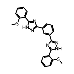 CSc1ccccc1-c1nc(-c2cccc(-c3n[nH]c(-c4ccccc4SC)n3)c2)n[nH]1